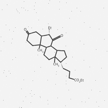 CCOC(=O)CCC[C@H]1CCC2C3C(=O)[C@@H](CC)C4CC(=O)CCC4(C)C3CCC21C